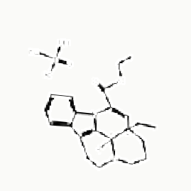 CCOC(=O)C1=C[C@]2(CC)CCCN3CCc4c(n1c1ccccc41)[C@@H]32.O=P(O)(O)O